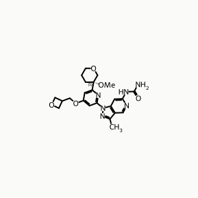 CO[C@]1(c2cc(OCC3COC3)cc(-n3nc(C)c4cnc(NC(N)=O)cc43)n2)CCCOC1